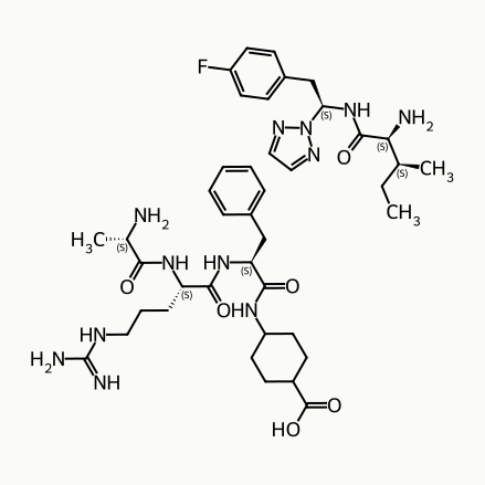 CC[C@H](C)[C@H](N)C(=O)N[C@H](Cc1ccc(F)cc1)n1nccn1.C[C@H](N)C(=O)N[C@@H](CCCNC(=N)N)C(=O)N[C@@H](Cc1ccccc1)C(=O)NC1CCC(C(=O)O)CC1